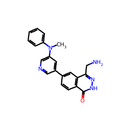 CN(c1ccccc1)c1cncc(-c2ccc3c(=O)[nH]nc(CN)c3c2)c1